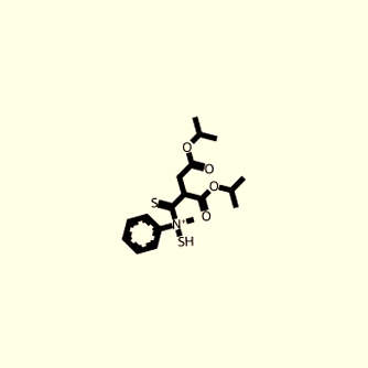 CC(C)OC(=O)CC(C(=O)OC(C)C)C(=S)[N+](C)(S)c1ccccc1